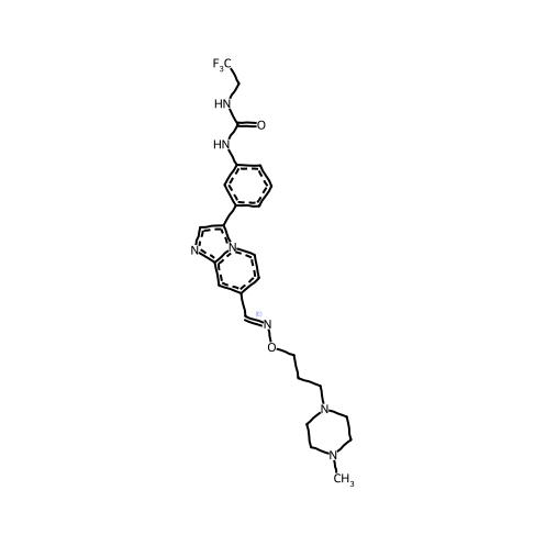 CN1CCN(CCCO/N=C/c2ccn3c(-c4cccc(NC(=O)NCC(F)(F)F)c4)cnc3c2)CC1